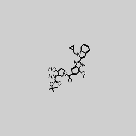 COc1cc(C(=O)N2CCC(O)C(NC(=O)OC(C)(C)C)C2)cc2nc(-c3cc4ccccc4n3CC3CC3)n(C)c12